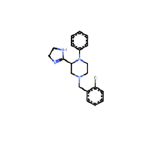 Clc1ccccc1CN1CCN(c2ccccc2)C(C2=NCCN2)C1